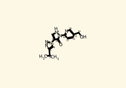 CC(C)c1cn(-c2c[nH]n(-c3ccc(CO)cn3)c2=O)nn1